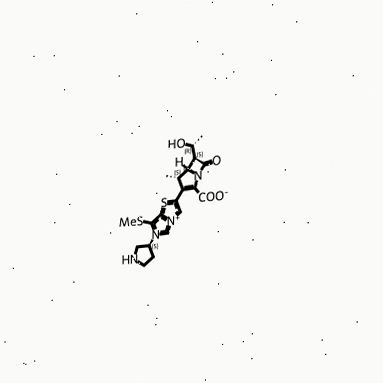 CSc1c2sc(C3=C(C(=O)[O-])N4C(=O)[C@H]([C@@H](C)O)[C@H]4[C@H]3C)c[n+]2cn1[C@H]1CCNC1